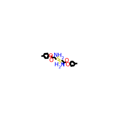 Cc1ccc(OC(=O)C(N)CSSCC(N)C(=O)Oc2ccc(C)cc2)cc1